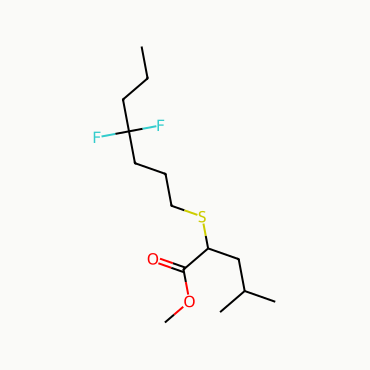 CCCC(F)(F)CCCSC(CC(C)C)C(=O)OC